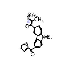 CCn1c2ccc(C(=O)/C(C)=N/OC(C)=O)cc2c2cc(C(=O)c3cccs3)ccc21